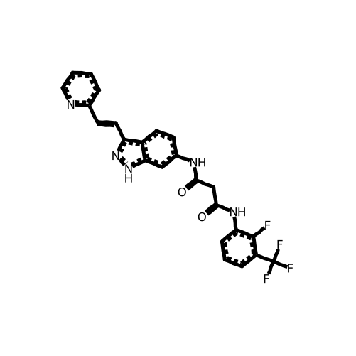 O=C(CC(=O)Nc1cccc(C(F)(F)F)c1F)Nc1ccc2c(/C=C/c3ccccn3)n[nH]c2c1